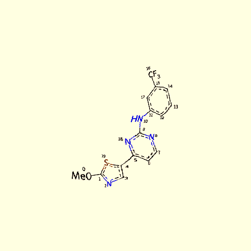 COc1ncc(-c2ccnc(Nc3cccc(C(F)(F)F)c3)n2)s1